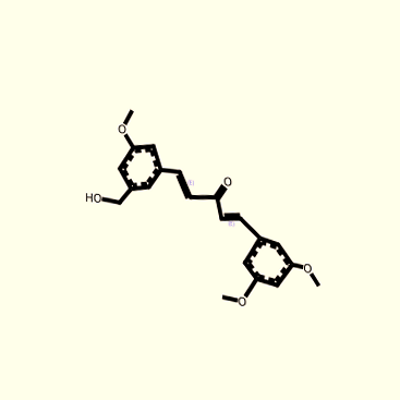 COc1cc(/C=C/C(=O)/C=C/c2cc(OC)cc(OC)c2)cc(CO)c1